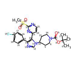 CC(C)(C)OC(=O)N1CCC(n2cnc(-c3ccc(F)cc3)c2-c2ccnc(S(C)(=O)=O)n2)CC1